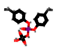 COc1ccc(OP(=O)(Oc2ccc(OC)cc2)O[Se](=O)(=O)O)cc1